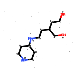 OCCC(CO)CCNC1CCNCC1